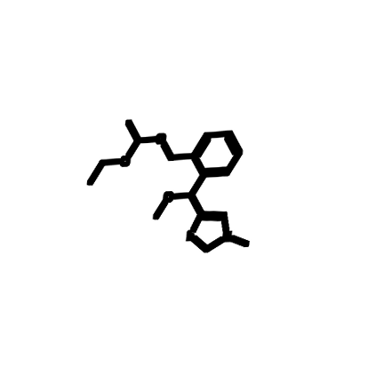 CCOC(C)OCc1ccccc1C(OC)C1=CN(C)CS1